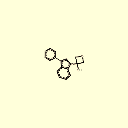 OC1(c2cn(-c3ccccc3)c3ccccc23)COC1